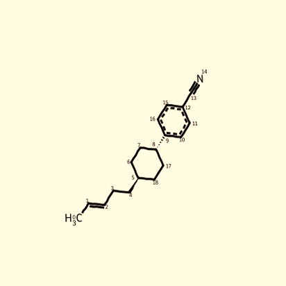 C/C=C/CC[C@H]1CC[C@H](c2ccc(C#N)cc2)CC1